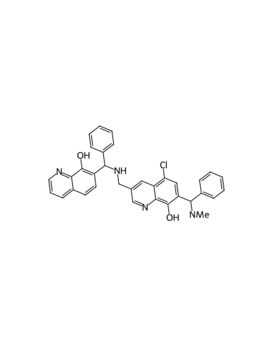 CNC(c1ccccc1)c1cc(Cl)c2cc(CNC(c3ccccc3)c3ccc4cccnc4c3O)cnc2c1O